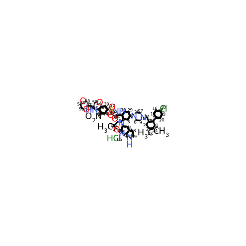 C[C@@H]1CN(c2cc(N3CCN(CC4=C(c5ccc(Cl)cc5)CC(C)(C)CC4)CC3)ccc2C(=O)NS(=O)(=O)c2cc3c(c([N+](=O)[O-])c2)N[C@@H]([C@H]2COCCO2)CO3)c2cc3cc[nH]c3nc2O1.Cl